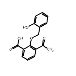 CC(=O)c1cccc(C(=O)O)c1OCc1ccccc1O